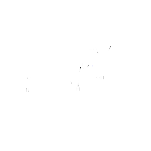 CC#CC[C@H](C)[C@H](O)/C=C/[C@@H]1[C@H]2c3cccc(CCCC(=O)N(CC)CC)c3O[C@H]2C[C@H]1O